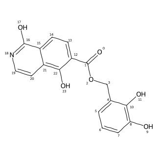 O=C(OCc1cccc(O)c1O)c1ccc2c(O)nccc2c1O